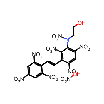 O=[N+]([O-])O.O=[N+]([O-])c1cc([N+](=O)[O-])c(C=Cc2c([N+](=O)[O-])cc([N+](=O)[O-])c(N(CCO)[N+](=O)[O-])c2[N+](=O)[O-])c([N+](=O)[O-])c1